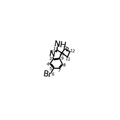 NC1=Nc2cc(Br)ccc2C12CCC2